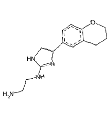 NCCNC1=NC(c2ccc3c(c2)CCCO3)CN1